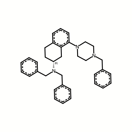 c1ccc(CN2CCN(c3cccc4c3C[C@H](N(Cc3ccccc3)Cc3ccccc3)CC4)CC2)cc1